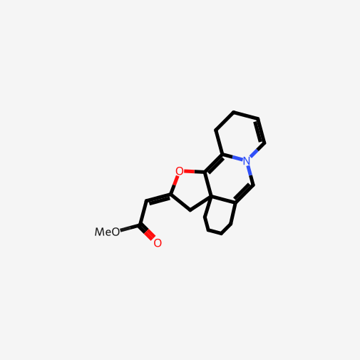 COC(=O)/C=C1\CC23CCCCC2=CN2C=CCCC2=C3O1